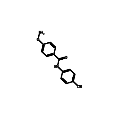 BOc1ccc(C(=O)Nc2ccc(O)cc2)cc1